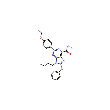 CCCCn1c(Sc2ccccc2)nc2c(C(N)=O)nc(-c3ccc(OCC)cc3)nc21